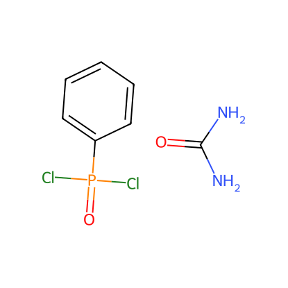 NC(N)=O.O=P(Cl)(Cl)c1ccccc1